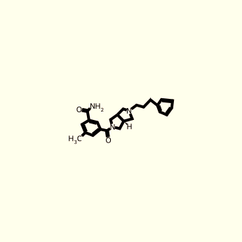 Cc1cc(C(N)=O)cc(C(=O)N2CC3CN(CC[CH]c4ccccc4)C[C@H]3C2)c1